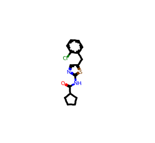 O=C(Nc1ncc(Cc2ccccc2Cl)s1)C1CCCC1